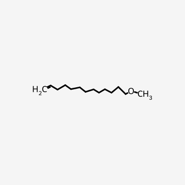 C=CCCCCCCCCCCCOC